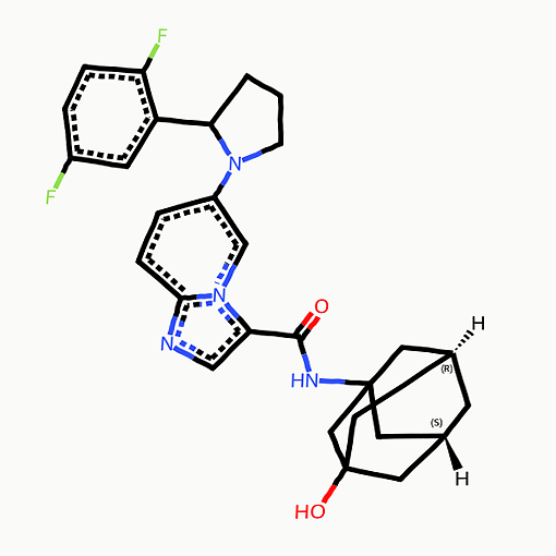 O=C(NC12C[C@@H]3C[C@@H](CC(O)(C3)C1)C2)c1cnc2ccc(N3CCCC3c3cc(F)ccc3F)cn12